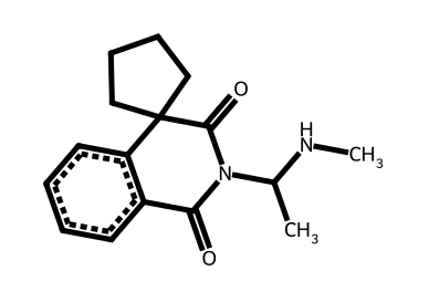 CNC(C)N1C(=O)c2ccccc2C2(CCCC2)C1=O